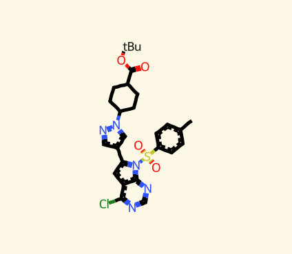 Cc1ccc(S(=O)(=O)n2c(-c3cnn(C4CCC(C(=O)OC(C)(C)C)CC4)c3)cc3c(Cl)ncnc32)cc1